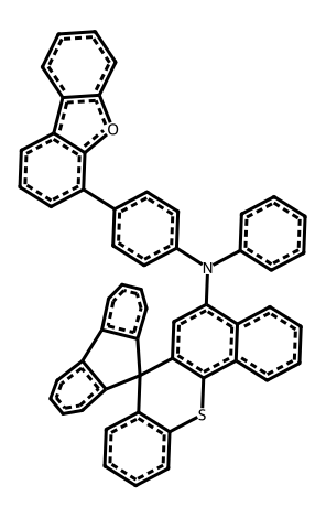 c1ccc(N(c2ccc(-c3cccc4c3oc3ccccc34)cc2)c2cc3c(c4ccccc24)Sc2ccccc2C32c3ccccc3-c3ccccc32)cc1